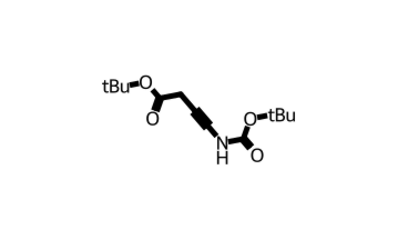 CC(C)(C)OC(=O)CC#CNC(=O)OC(C)(C)C